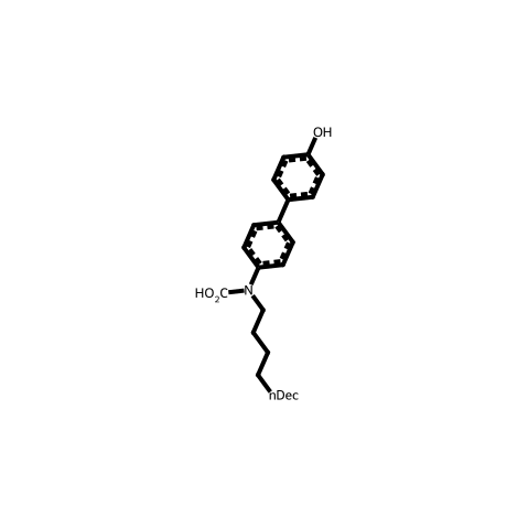 CCCCCCCCCCCCCCN(C(=O)O)c1ccc(-c2ccc(O)cc2)cc1